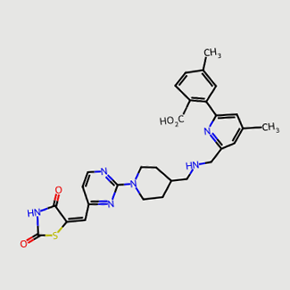 Cc1cc(CNCC2CCN(c3nccc(/C=C4/SC(=O)NC4=O)n3)CC2)nc(-c2cc(C)ccc2C(=O)O)c1